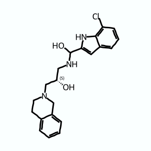 OC(NC[C@H](O)CN1CCc2ccccc2C1)c1cc2cccc(Cl)c2[nH]1